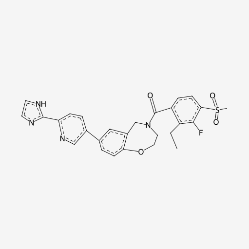 CCc1c(C(=O)N2CCOc3ccc(-c4ccc(-c5ncc[nH]5)nc4)cc3C2)ccc(S(C)(=O)=O)c1F